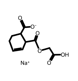 O=C(O)COC(=O)C1C=CCCC1C(=O)[O-].[Na+]